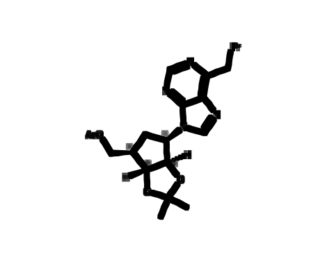 CC(=O)OC[C@H]1C[C@@H](n2cnc3c(CC(C)C)ncnc32)[C@H]2OC(C)(C)O[C@H]12